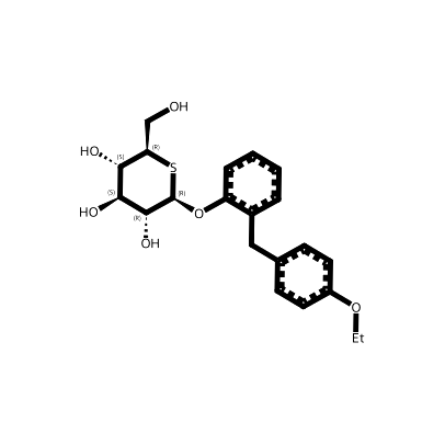 CCOc1ccc(Cc2ccccc2O[C@@H]2S[C@H](CO)[C@@H](O)[C@H](O)[C@H]2O)cc1